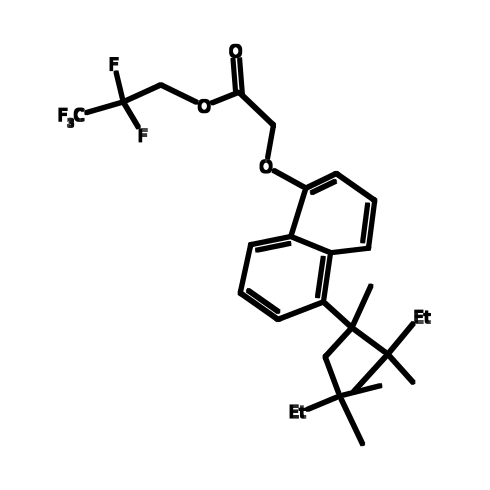 CCC(C)(C)CC(C)(c1cccc2c(OCC(=O)OCC(F)(F)C(F)(F)F)cccc12)C(C)(C)CC